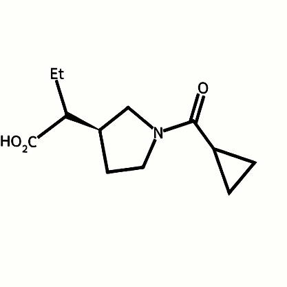 CCC(C(=O)O)[C@@H]1CCN(C(=O)C2CC2)C1